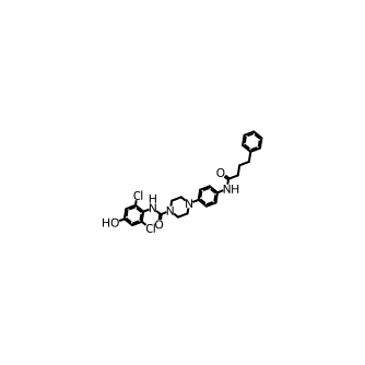 O=C(CCCc1ccccc1)Nc1ccc(N2CCN(C(=O)Nc3c(Cl)cc(O)cc3Cl)CC2)cc1